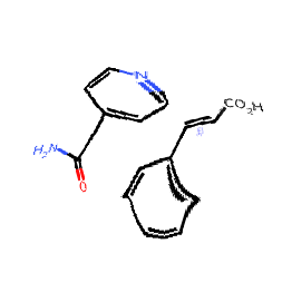 NC(=O)c1ccncc1.O=C(O)/C=C/c1ccccc1